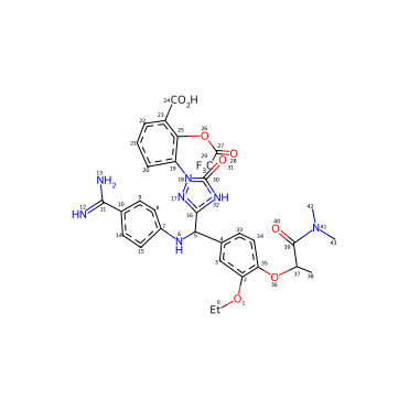 CCOc1cc(C(Nc2ccc(C(=N)N)cc2)c2nn(-c3cccc(C(=O)O)c3OC(=O)C(F)(F)F)c(=O)[nH]2)ccc1OC(C)C(=O)N(C)C